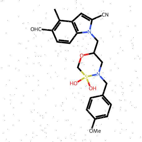 COc1ccc(CN2CC(Cn3c(C#N)cc4c(C)c(C=O)ccc43)OCS2(O)O)cc1